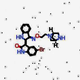 O=C1Nc2ccc(Br)cc2/C1=C1/Nc2ccccc2/C1=N\OCCN1C[C@H]2C[C@@H]1CN2